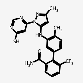 Cc1cc(Nc2cc(-c3c(C(N)=O)cccc3C(F)(F)F)ccc2C)n(-c2cc(S)ncn2)n1